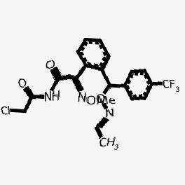 C/C=N/OC(c1ccc(C(F)(F)F)cc1)c1ccccc1/C(=N\OC)C(=O)NC(=O)CCl